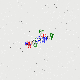 O=C(N[C@H]1CC[C@H](C(F)(F)F)CC1)c1cc2[nH]c(Nc3c(Cl)ccc(CNC(=O)C4(O)CC4)c3Cl)nc2nc1OCC(F)F